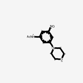 CC(=O)Nc1cc(N=O)cc(N2CCOCC2)c1